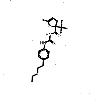 CCCCCc1ccc(NC(=S)NC(=O)C2(C(F)(F)F)CC=C(C)O2)cc1